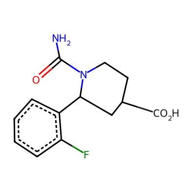 NC(=O)N1CCC(C(=O)O)CC1c1ccccc1F